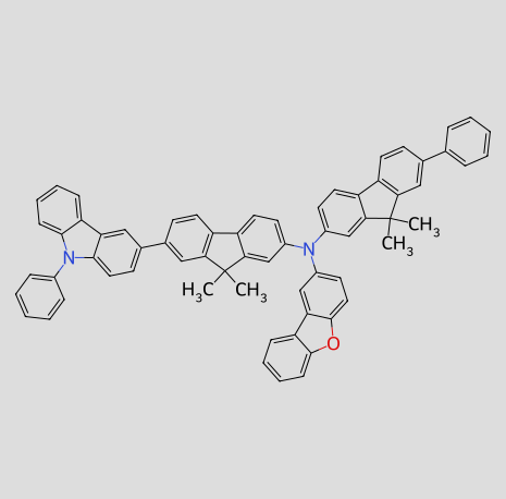 CC1(C)c2cc(-c3ccccc3)ccc2-c2ccc(N(c3ccc4c(c3)C(C)(C)c3cc(-c5ccc6c(c5)c5ccccc5n6-c5ccccc5)ccc3-4)c3ccc4oc5ccccc5c4c3)cc21